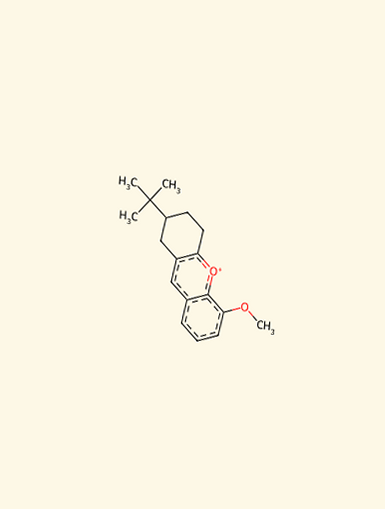 COc1cccc2cc3c([o+]c12)CCC(C(C)(C)C)C3